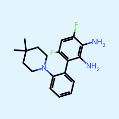 CC1(C)CCN(c2ccccc2-c2c(F)cc(F)c(N)c2N)CC1